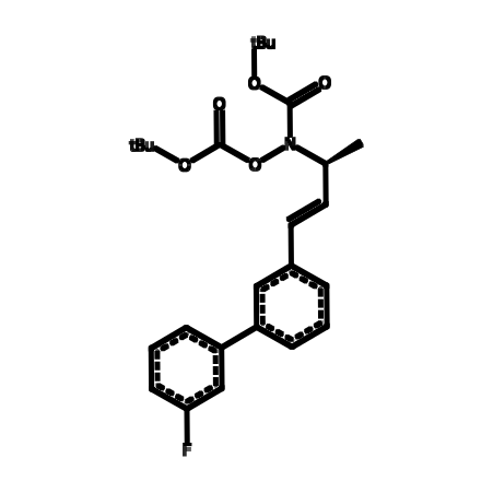 C[C@@H](/C=C/c1cccc(-c2cccc(F)c2)c1)N(OC(=O)OC(C)(C)C)C(=O)OC(C)(C)C